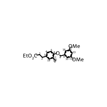 CCOC(=O)CCc1ccc(OCc2cc(OC)cc(OC)c2)c(F)c1